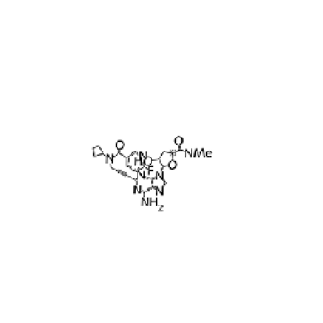 CNC(=O)[C@@H]1CC(O)C(n2cnc3c(N)nc(C#CCN(C(=O)c4ccc(F)nc4)C4CCC4)nc32)O1